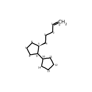 C=CCCC[C@@H]1CCC[C]1C1CCCC1